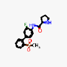 CS(=O)(=O)c1ccccc1-c1ccc(NC(=O)C2CCCN2)c(F)c1